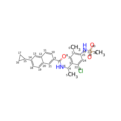 Cc1cc(C(C)NC(=O)c2ccc3cc(C4CC4)ccc3c2)c(Cl)cc1NS(C)(=O)=O